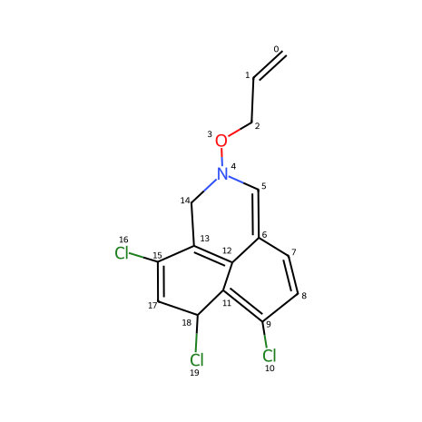 C=CCON1C=c2ccc(Cl)c3c2=C(C1)C(Cl)=CC3Cl